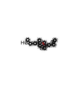 Oc1ccccc1-c1cccc(-c2ccc(N(c3ccccc3)c3ccc4c5c(cccc35)-c3c(cccc3N(c3ccccc3)c3ccc(-c5cccc6c5oc5ccccc56)cc3)O4)cc2)c1